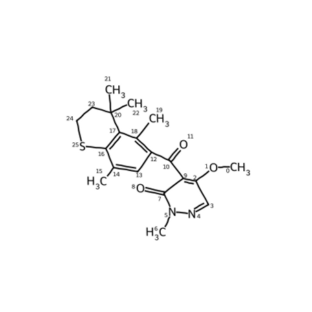 COc1cnn(C)c(=O)c1C(=O)c1cc(C)c2c(c1C)C(C)(C)CCS2